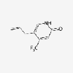 C=CCc1c[nH]c(=O)cc1C(F)(F)F